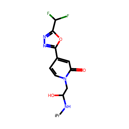 CC(C)NC(O)Cn1ccc(-c2nnc(C(F)F)o2)cc1=O